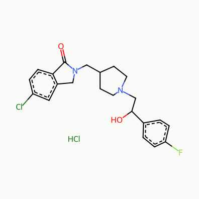 Cl.O=C1c2ccc(Cl)cc2CN1CC1CCN(CC(O)c2ccc(F)cc2)CC1